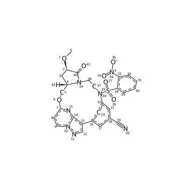 CO[C@@H]1C[C@H]2COc3ccn4ncc(c4n3)-c3cc(C#N)cc(c3)N(S(=O)(=O)c3ccccc3[N+](=O)[O-])CCN2C1=O